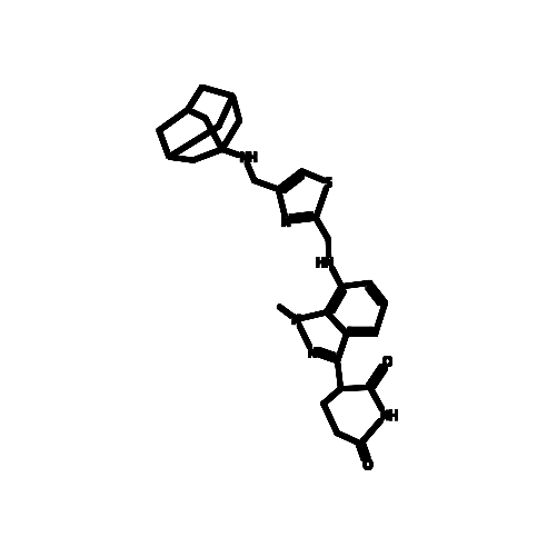 Cn1nc(C2CCC(=O)NC2=O)c2cccc(NCc3nc(CNC45CC6CC(CC(C6)C4)C5)cs3)c21